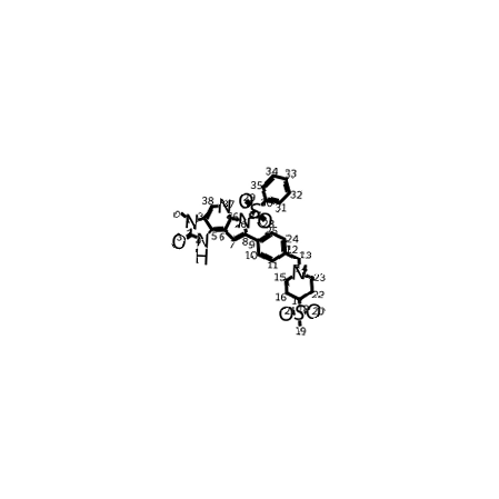 Cn1c(=O)[nH]c2c3cc(-c4ccc(CN5CCC(S(C)(=O)=O)CC5)cc4)n(S(=O)(=O)c4ccccc4)c3ncc21